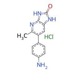 Cc1nc2[nH]c(=O)[nH]c2cc1-c1ccc(N)cc1.Cl